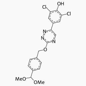 COC(OC)c1ccc(COc2ncc(-c3cc(Cl)c(O)c(Cl)c3)nn2)cc1